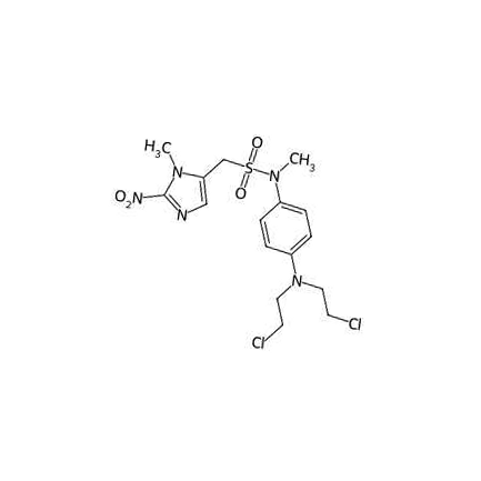 CN(c1ccc(N(CCCl)CCCl)cc1)S(=O)(=O)Cc1cnc([N+](=O)[O-])n1C